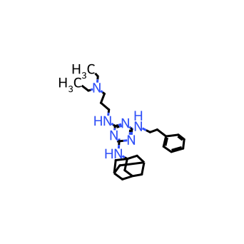 CCN(CC)CCCNc1nc(NCCc2ccccc2)nc(NC23CC4CC(CC(C4)C2)C3)n1